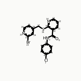 O=C(Nc1ccc(Cl)cc1)c1cccnc1SCc1ccnc(Br)c1